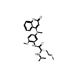 COc1ccc(N(C)c2cc(=O)oc3ccccc23)cc1NC(=O)[C@H](CCSC)NC(C)C